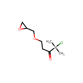 C[Si](C)(Cl)C(=O)CCOCC1CO1